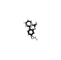 Cc1ccc2c(c1)SC(=S)N1CCCN=C21